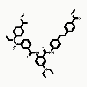 CCN(CC)c1ccc(NC(=O)c2cccc([S+]([O-])N(CC)C3CCC(C(=O)OI)CC3)c2)c(C(=O)Nc2ccc(CCc3ccc(C(=O)OI)cc3)cc2)c1